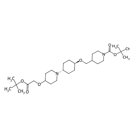 CC(C)(C)OC(=O)COC1CCN([C@H]2CC[C@H](OCC3CCN(C(=O)OC(C)(C)C)CC3)CC2)CC1